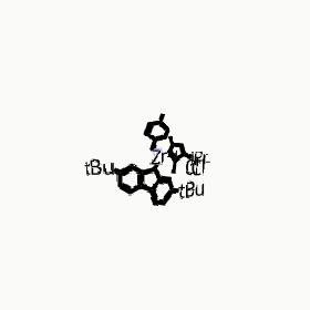 CC1=[C](/[Zr+2](=[CH]\c2ccc(C)cc2)[CH]2c3cc(C(C)(C)C)ccc3-c3ccc(C(C)(C)C)cc32)C(C)C=C1C(C)C.[Cl-].[Cl-]